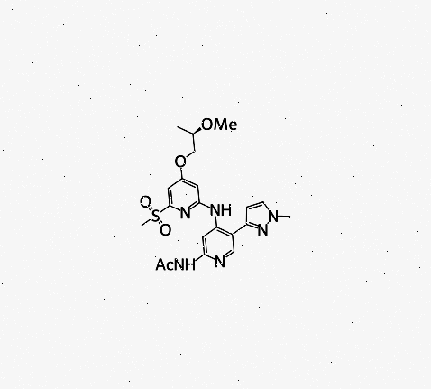 CO[C@H](C)COc1cc(Nc2cc(NC(C)=O)ncc2-c2ccn(C)n2)nc(S(C)(=O)=O)c1